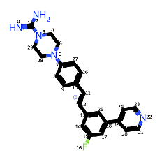 N=C(N)N1CCN(c2ccc(/C=C/c3cc(F)cc(-c4ccncc4)c3)cc2)CC1